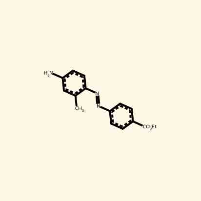 CCOC(=O)c1ccc(N=Nc2ccc(N)cc2C)cc1